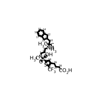 CN(CC(O)CNC(C)(C)CC1Cc2ccccc2C1)S(=O)(=O)c1cc(CCCC(=O)O)c(C(F)(F)F)s1